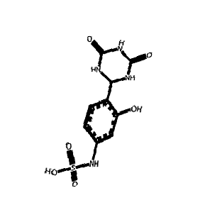 O=C1NC(=O)NC(c2ccc(NS(=O)(=O)O)cc2O)N1